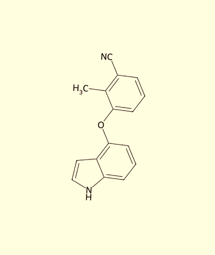 Cc1c(C#N)cccc1Oc1cccc2[nH]ccc12